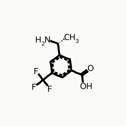 C[C@@H](N)c1cc(C(=O)O)cc(C(F)(F)F)c1